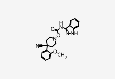 COc1ccccc1C1(C#N)CCN(OC(=O)Nc2n[nH]c3ccccc23)CC1